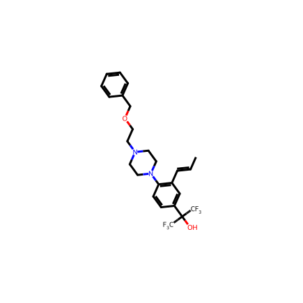 CC=Cc1cc(C(O)(C(F)(F)F)C(F)(F)F)ccc1N1CCN(CCOCc2ccccc2)CC1